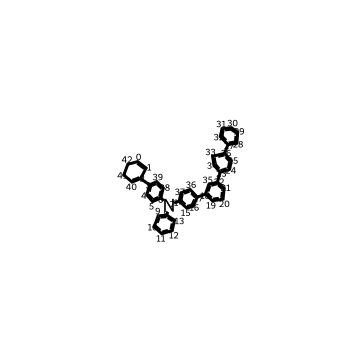 C1=CC(c2ccc(N(c3ccccc3)c3ccc(-c4cccc(-c5ccc(-c6ccccc6)cc5)c4)cc3)cc2)=CCC1